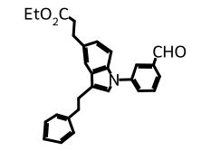 CCOC(=O)CCc1ccc2c(c1)c(CCc1ccccc1)cn2-c1cccc(C=O)c1